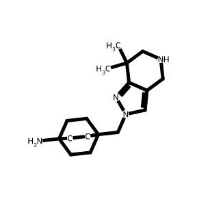 CC1(C)CNCc2cn(CC34CCC(N)(CC3)CC4)nc21